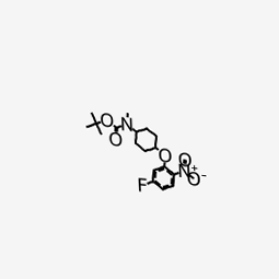 CN(C(=O)OC(C)(C)C)C1CCC(Oc2cc(F)ccc2[N+](=O)[O-])CC1